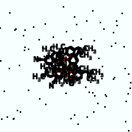 Cc1cc(CN(C)C)ccc1S(N)(=O)=NC(=O)Cc1c(C(C)C)cc(C#N)cc1C(C)CCC(C)c1cc(C#N)cc(C2CC2CC(C)c2cc(C#N)cc(C3CC3)c2CC(=O)N=S(N)(=O)c2ccc(CN(C)C)cc2C)c1CC(=O)N=S(N)(=O)c1ccc(CN(C)C)cc1F